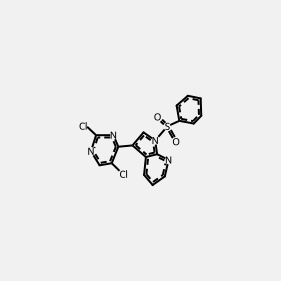 O=S(=O)(c1ccccc1)n1cc(-c2nc(Cl)ncc2Cl)c2cccnc21